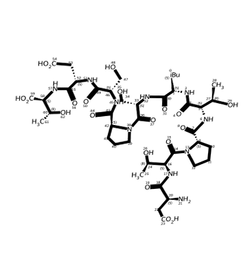 CC[C@H](C)[C@H](NC(=O)[C@@H](NC(=O)[C@@H]1CCCN1C(=O)[C@@H](NC(=O)[C@@H](N)CC(=O)O)[C@@H](C)O)[C@@H](C)O)C(=O)N[C@@H](CO)C(=O)N1CCC[C@H]1C(=O)N[C@@H](CO)C(=O)N[C@@H](CC(=O)O)C(=O)N[C@H](C(=O)O)[C@@H](C)O